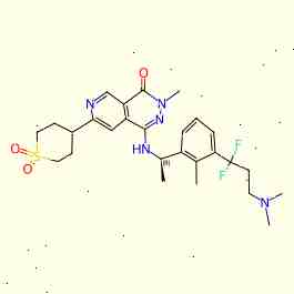 Cc1c([C@@H](C)Nc2nn(C)c(=O)c3cnc(C4CCS(=O)(=O)CC4)cc23)cccc1C(F)(F)CCN(C)C